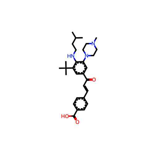 CC(C)CCNc1c(N2CCN(C)CC2)cc(C(=O)C=Cc2ccc(C(=O)O)cc2)cc1C(C)(C)C